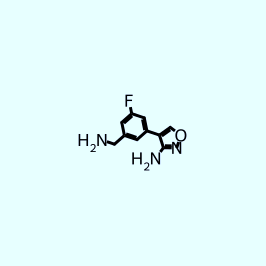 NCc1cc(F)cc(-c2conc2N)c1